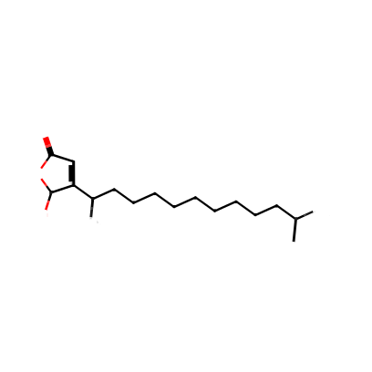 CC(=O)OC(CCCCCCCCCC(C)C(=O)O)C1=CC(=O)OC1O